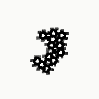 c1ccc(-c2ccc(-c3ccccc3N(c3ccc(-c4cccc5ccccc45)cc3)c3ccc4c(c3)C3(c5ccccc5-c5ccccc53)c3cccc5c6ccccc6n-4c35)cc2)cc1